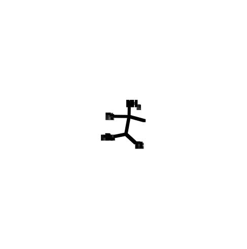 CCCCC(CC)C(C)(N)CC